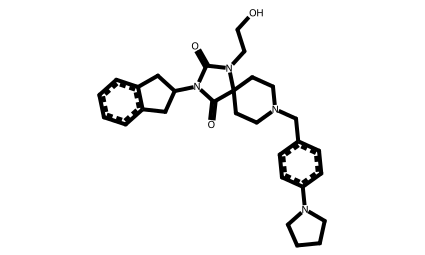 O=C1N(C2Cc3ccccc3C2)C(=O)C2(CCN(Cc3ccc(N4CCCC4)cc3)CC2)N1CCO